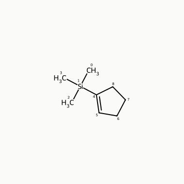 C[Si](C)(C)C1=CCCC1